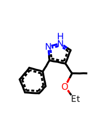 CCOC(C)c1c[nH]nc1-c1ccccc1